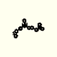 c1ccc(-c2nc(-c3ccc(-c4ccc5sc6ccccc6c5c4)cc3)cc(-c3ccc4cc(-c5cccc(-n6c7ccccc7c7ccccc76)c5)ccc4c3)n2)cc1